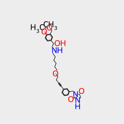 CC1(C)OCc2cc([C@H](O)CNCCCCCCOCCC#Cc3cccc(CN4C(=O)CNC4=O)c3)ccc2O1